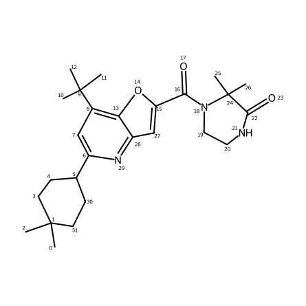 CC1(C)CCC(c2cc(C(C)(C)C)c3oc(C(=O)N4CCNC(=O)C4(C)C)cc3n2)CC1